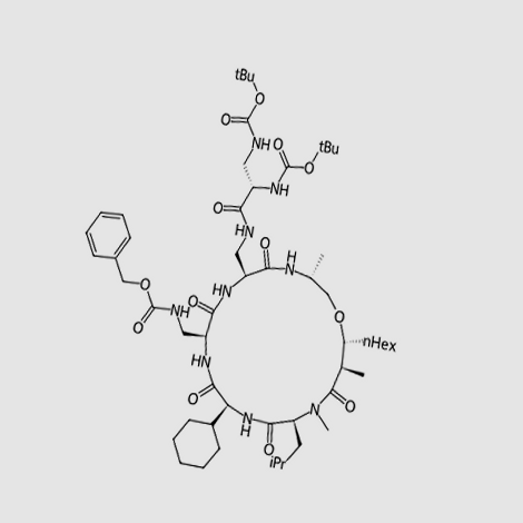 CCCCCC[C@H]1OC[C@@H](C)NC(=O)[C@H](CNC(=O)[C@H](CNC(=O)OC(C)(C)C)NC(=O)OC(C)(C)C)NC(=O)[C@H](CNC(=O)OCc2ccccc2)NC(=O)[C@H](C2CCCCC2)NC(=O)[C@H](CC(C)C)N(C)C(=O)[C@@H]1C